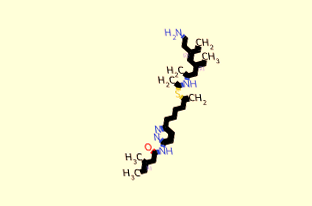 C=C/C(=C\C(=C/C)CC(=C)NC(=C)SC(=C)CCCCc1ccc(NC(=O)C/C(C)=C/C)nn1)CCN